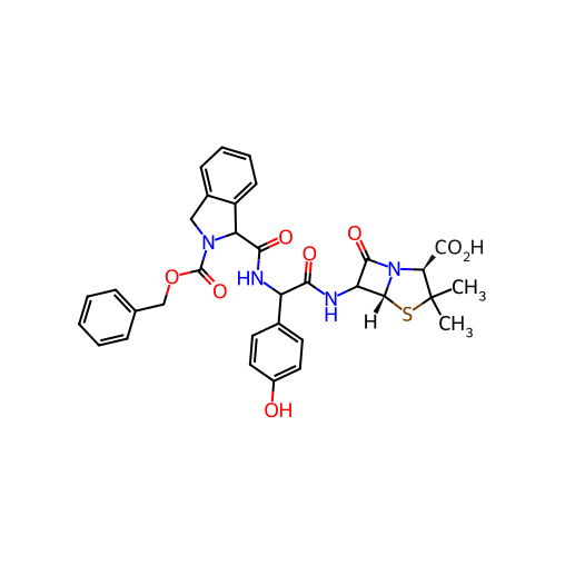 CC1(C)S[C@@H]2C(NC(=O)C(NC(=O)C3c4ccccc4CN3C(=O)OCc3ccccc3)c3ccc(O)cc3)C(=O)N2[C@H]1C(=O)O